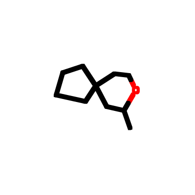 CC1CC2(CCCC2)CCO1